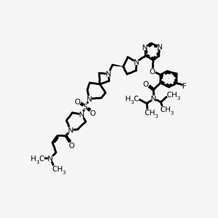 CC(C)N(C(=O)c1cc(F)ccc1Oc1cncnc1N1CC[C@@H](CN2CC3(CCN(S(=O)(=O)N4CCN(C(=O)/C=C\CN(C)C)CC4)CC3)C2)C1)C(C)C